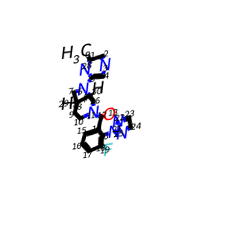 Cc1cncc(N2C[C@@H]3CCN(C(=O)c4cccc(F)c4-n4nccn4)C[C@@H]32)n1